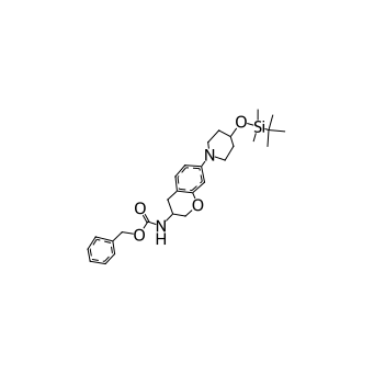 CC(C)(C)[Si](C)(C)OC1CCN(c2ccc3c(c2)OCC(NC(=O)OCc2ccccc2)C3)CC1